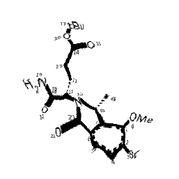 COc1c(Br)ccc2c1[C@@H](C)N([C@@H](CCC(=O)OC(C)(C)C)C(N)=O)C2=O